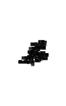 CO[C@@H]1OC(CO)[C@@H](O[C@@H]2O[C@@H](CO)[C@@H](O[C@@H]3OC(CO[C@H]4OC(CO)[C@H](O)[C@H](O)C4O)[C@@H](O[C@@H]4O[C@@H](CO)[C@@H](OC)C(O)C4O)[C@H](O)C3O)C(O)C2O)[C@H](O)C1O